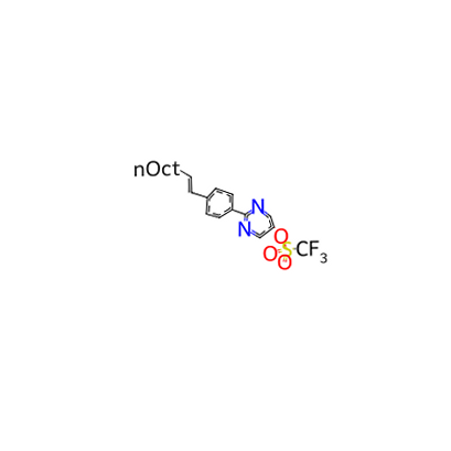 CCCCCCCCC=Cc1ccc(-c2ncc(OS(=O)(=O)C(F)(F)F)cn2)cc1